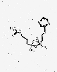 CC(=O)NCCC[Si](C)(C)O[Si](C)(C)CCSc1cnccn1